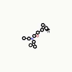 C[C@H]1CC23CC(C[C@H]2C3)[C@@]12c1ccccc1-c1cc(-c3ccc4c(c3)oc3cc(N(c5ccc(-c6ccccc6)cc5)c5ccc6c(c5)C5(CCCCC5)c5ccccc5-6)ccc34)ccc12